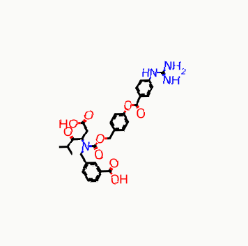 CC(C)C(=O)C(CC(=O)O)N(Cc1cccc(C(=O)O)c1)C(=O)OCc1ccc(OC(=O)c2ccc(NC(=N)N)cc2)cc1